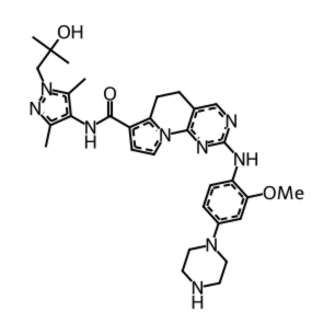 COc1cc(N2CCNCC2)ccc1Nc1ncc2c(n1)-n1ccc(C(=O)Nc3c(C)nn(CC(C)(C)O)c3C)c1CC2